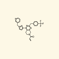 C=CC(=O)N1CCc2c(nc(Cc3ccc(C(F)(F)F)cc3)nc2-c2ccn(Cc3cccnc3)n2)C1